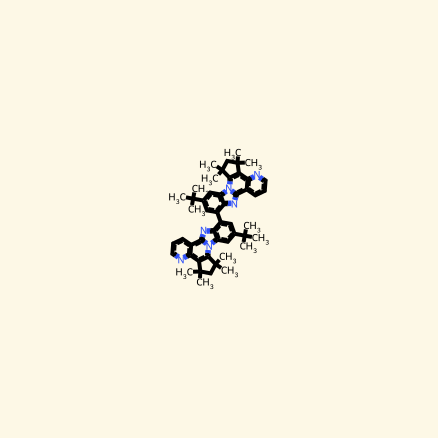 CC(C)(C)c1cc(-c2cc(C(C)(C)C)cc3c2nc2c4cccnc4c4c(n32)C(C)(C)CC4(C)C)c2nc3c4cccnc4c4c(n3c2c1)C(C)(C)CC4(C)C